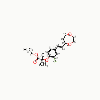 CCOC(=O)C(C)(C)Oc1ccc(/C=C/C2CCOCCO2)cc1F